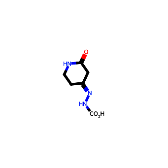 O=C(O)N/N=C1\CCNC(=O)C1